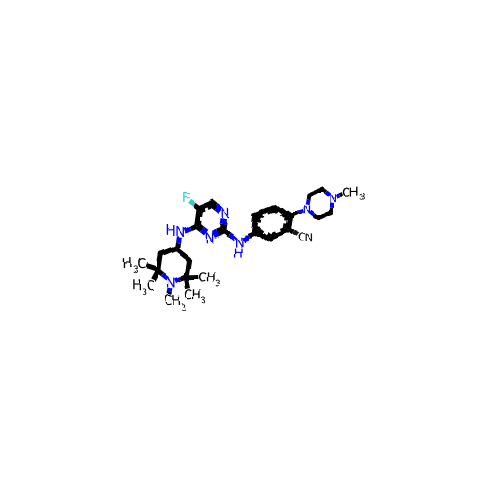 CN1CCN(c2ccc(Nc3ncc(F)c(NC4CC(C)(C)N(C)C(C)(C)C4)n3)cc2C#N)CC1